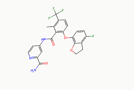 Cc1c(C(F)(F)F)ccc(Oc2ccc(F)c3c2OCC3)c1C(=O)Nc1ccnc(C(N)=O)c1